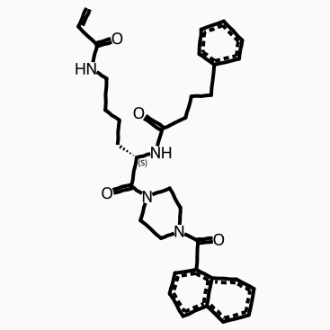 C=CC(=O)NCCCC[C@H](NC(=O)CCCc1ccccc1)C(=O)N1CCN(C(=O)c2cccc3ccccc23)CC1